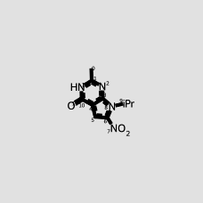 Cc1nc2c(cc([N+](=O)[O-])n2C(C)C)c(=O)[nH]1